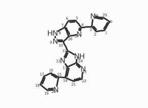 c1ccc(-c2ccc3[nH]nc(-c4nc5c(-c6ccccn6)ccnc5[nH]4)c3n2)nc1